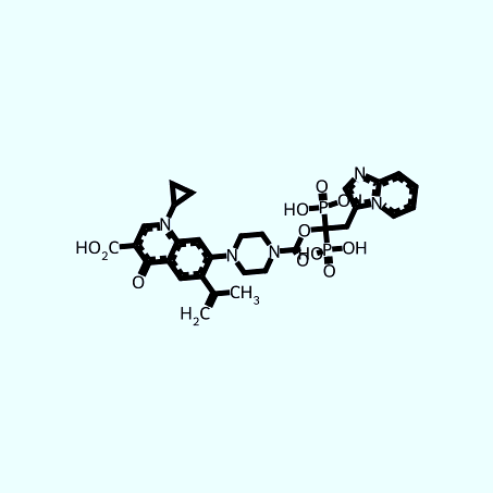 C=C(C)c1cc2c(=O)c(C(=O)O)cn(C3CC3)c2cc1N1CCN(C(=O)OC(Cc2cnc3ccccn23)(P(=O)(O)O)P(=O)(O)O)CC1